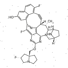 C[C@@H]1[C@H]2[C@@H]3CC[C@H](CN2c2nc(OC[C@@]45CCCN4C[C@H](F)C5)nc4c(F)c5nc(c24)[C@@H]1C#Cc1c(F)ccc2cc(O)cc-5c12)N3